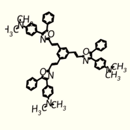 CN(C)c1ccc(-c2nc(/C=C/c3cc(/C=C/c4nc(-c5ccc(N(C)C)cc5)c(-c5ccccc5)o4)cc(/C=C/c4nc(-c5ccc(N(C)C)cc5)c(-c5ccccc5)o4)c3)oc2-c2ccccc2)cc1